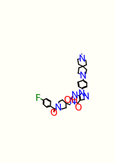 CN1CCC2(CC1)CCN(c1ccc(-n3ncc4c(=O)n(CC5(O)CCN(C(=O)c6ccc(F)cc6)CC5)cnc43)cc1)CC2